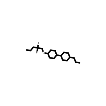 CCCC1CCC(C2CCC(OCC(F)(F)CCC)CC2)CC1